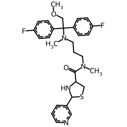 COCC(c1ccc(F)cc1)(c1ccc(F)cc1)N(C)CCCN(C)C(=O)C1CSC(c2cccnc2)N1